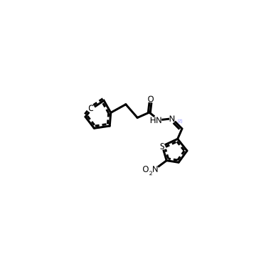 O=C(CCc1ccccc1)N/N=C\c1ccc([N+](=O)[O-])s1